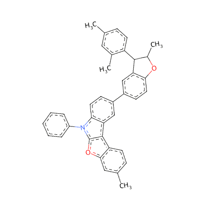 Cc1ccc(C2c3cc(-c4ccc5c(c4)c4c6ccc(C)cc6oc4n5-c4ccccc4)ccc3OC2C)c(C)c1